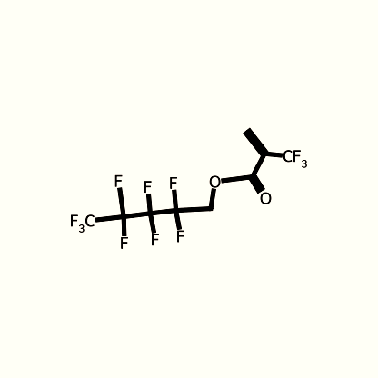 C=C(C(=O)OCC(F)(F)C(F)(F)C(F)(F)C(F)(F)F)C(F)(F)F